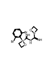 N=C(NC(=N)[N+]1(c2c(Br)cccc2Br)CCO1)N1CCO1